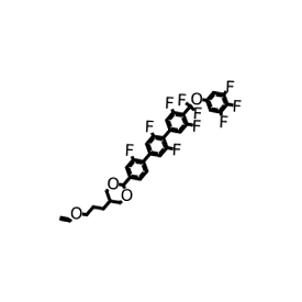 C=COCCCC1COC(c2ccc(-c3cc(F)c(-c4cc(F)c(C(F)(F)Oc5cc(F)c(F)c(F)c5)c(F)c4)c(F)c3)c(F)c2)OC1